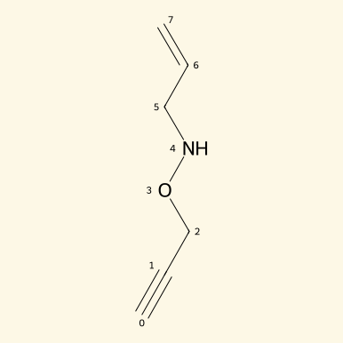 C#CCONCC=C